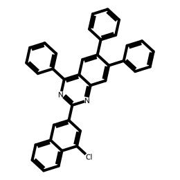 Clc1cc(-c2nc(-c3ccccc3)c3cc(-c4ccccc4)c(-c4ccccc4)cc3n2)cc2ccccc12